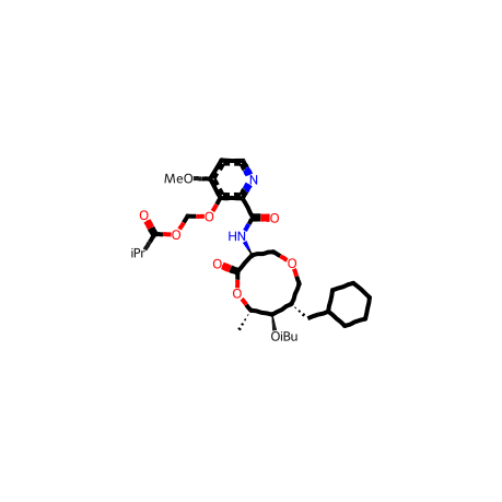 COc1ccnc(C(=O)N[C@H]2COC[C@H](CC3CCCCC3)[C@@H](OCC(C)C)[C@H](C)OC2=O)c1OCOC(=O)C(C)C